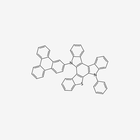 c1ccc(-n2c3ccccc3c3c4c5ccccc5n(-c5ccc6c7ccccc7c7ccccc7c6c5)c4c4c5ccccc5sc4c32)cc1